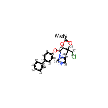 CNC(=O)OC(C(Oc1ccc(-c2ccccc2)cc1)n1ccnc1)C(C)(C)CCl